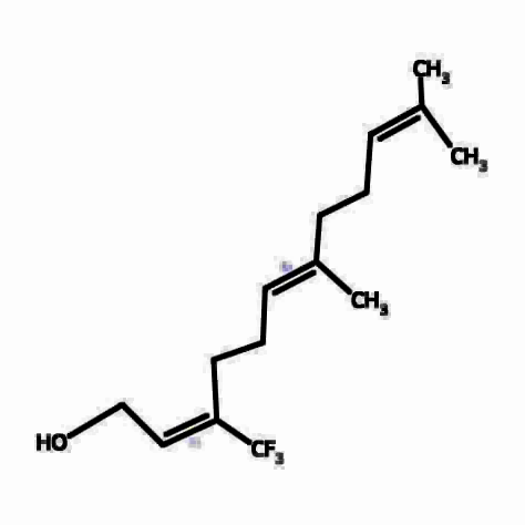 CC(C)=CCC/C(C)=C/CC/C(=C\CO)C(F)(F)F